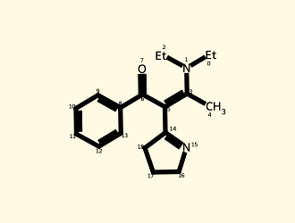 CCN(CC)/C(C)=C(\C(=O)c1ccccc1)C1=NCCC1